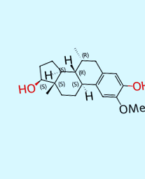 COc1cc2c(cc1O)C[C@@H](C)[C@@H]1[C@@H]2CC[C@]2(C)[C@@H](O)CC[C@@H]12